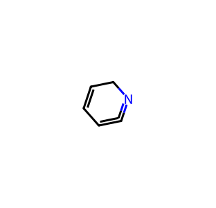 C1=CC=CCN=1